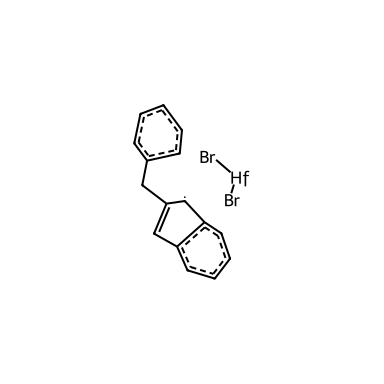 [Br][Hf][Br].[CH]1C(Cc2ccccc2)=Cc2ccccc21